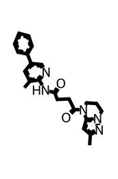 Cc1cc2n(n1)CCCN2C(=O)CCC(=O)Nc1ncc(-c2ccccc2)cc1C